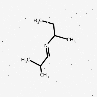 CCC(C)N=CC(C)C